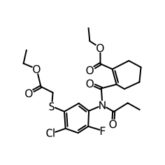 CCOC(=O)CSc1cc(N(C(=O)CC)C(=O)C2=C(C(=O)OCC)CCCC2)c(F)cc1Cl